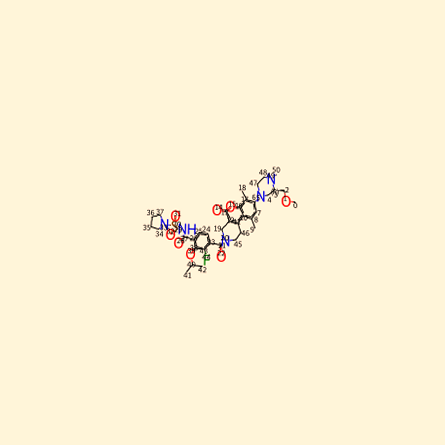 COC[C@H]1CN(c2cc(C)c3c4c(c(=O)oc3c2C)CN(C(=O)c2ccc(C(=O)NS(=O)(=O)N3CCCC3)c(OC(C)C)c2F)CC4)CCN1C